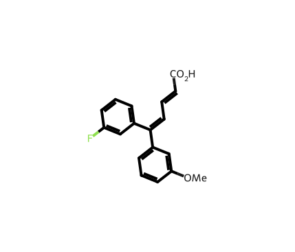 COc1cccc(C(=CC=CC(=O)O)c2cccc(F)c2)c1